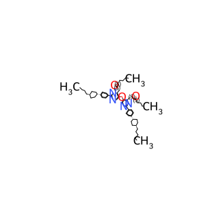 CCCCC[C@H]1CC[C@H](c2ccc(-c3ncc(Oc4cnc(-c5ccc([C@H]6CC[C@H](CCCCC)CC6)cc5)nc4C[C@@H]4O[C@H]4CCCC)c(C[C@@H]4O[C@H]4CCCC)n3)cc2)CC1